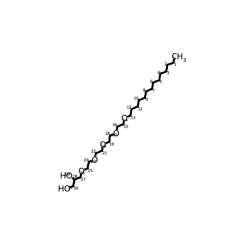 CCCCCCCCCCCCCCOCCOCCOCCOCCOCC(O)CO